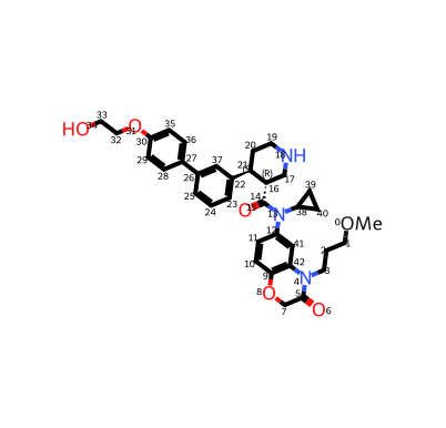 COCCCN1C(=O)COc2ccc(N(C(=O)[C@H]3CNCC[C@@H]3c3cccc(-c4ccc(OCCO)cc4)c3)C3CC3)cc21